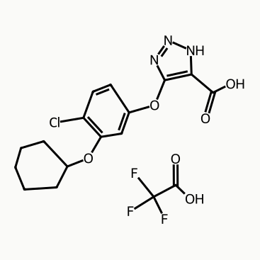 O=C(O)C(F)(F)F.O=C(O)c1[nH]nnc1Oc1ccc(Cl)c(OC2CCCCC2)c1